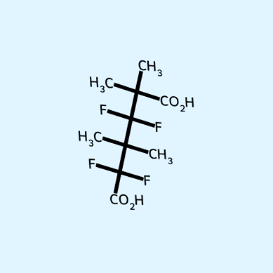 CC(C)(C(=O)O)C(F)(F)C(C)(C)C(F)(F)C(=O)O